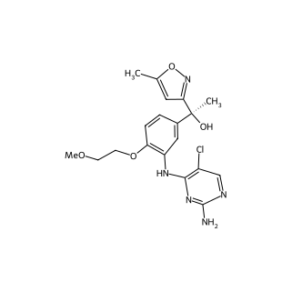 COCCOc1ccc([C@](C)(O)c2cc(C)on2)cc1Nc1nc(N)ncc1Cl